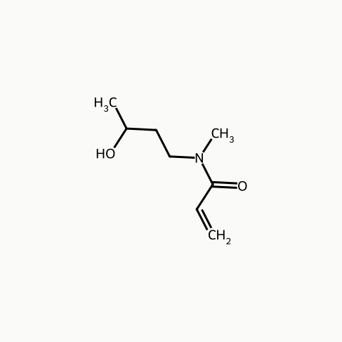 C=CC(=O)N(C)CCC(C)O